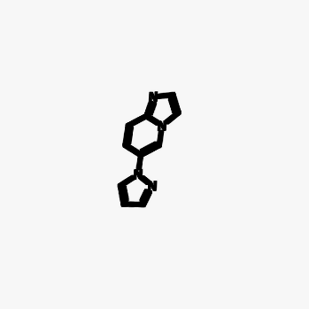 c1cnn(-c2ccc3nccn3c2)c1